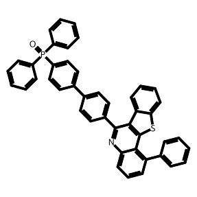 O=P(c1ccccc1)(c1ccccc1)c1ccc(-c2ccc(-c3nc4cccc(-c5ccccc5)c4c4sc5ccccc5c34)cc2)cc1